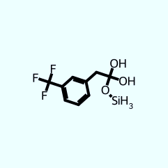 OC(O)(Cc1cccc(C(F)(F)F)c1)O[SiH3]